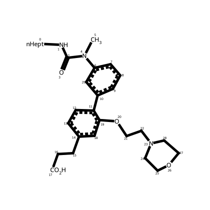 CCCCCCCNC(=O)N(C)c1cccc(-c2ccc(CCC(=O)O)cc2OCCN2CCOCC2)c1